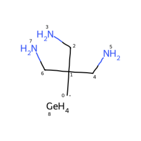 [CH2]C(CN)(CN)CN.[GeH4]